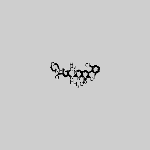 COn1c(=O)c(-c2c(F)cccc2Cl)cc2cnc(Nc3cc(C(=O)N4CCOCC4)[nH]c3C)nc21